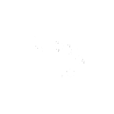 C=CCC(CCc1ncc(N2CC[C@@H](Oc3ccc(Oc4ccc(F)cc4)nc3)C2=O)cn1)C(=O)N1CCCC1